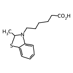 CC1Sc2ccccc2N1CCCCCC(=O)O